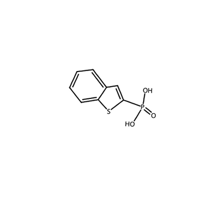 O=P(O)(O)c1cc2ccccc2s1